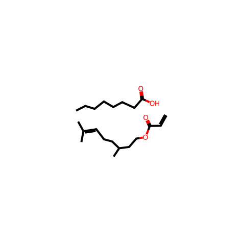 C=CC(=O)OCCC(C)CCC=C(C)C.CCCCCCCC(=O)O